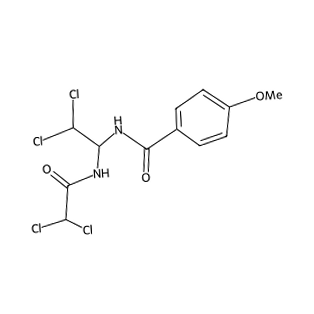 COc1ccc(C(=O)NC(NC(=O)C(Cl)Cl)C(Cl)Cl)cc1